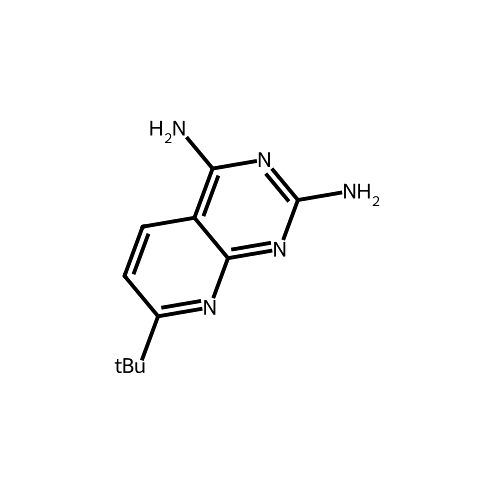 CC(C)(C)c1ccc2c(N)nc(N)nc2n1